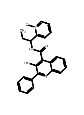 CCC(NC(=O)c1c(O)c(-c2ccccc2)nc2ccccc12)c1cccc[n+]1[O-]